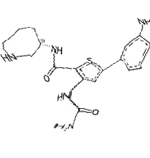 NC(=O)Nc1cc(-c2cccc(N)c2)sc1C(=O)N[C@H]1CCCNC1